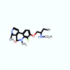 Cc1nccc2c1c(=O)n(C)c1c(F)c(OCC(CC(C)C)NC(=O)O)ccc21